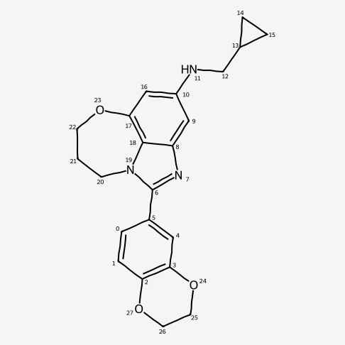 c1cc2c(cc1-c1nc3cc(NCC4CC4)cc4c3n1CCCO4)OCCO2